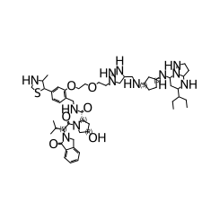 CCC(CC)C1CC(N[C@H]2CC[C@H](NCC3CN(CCOCCOc4cc(C5SCNC5C)ccc4CNC(=O)[C@@H]4C[C@@H](O)CN4C(=O)[C@H](C(C)C)N4Cc5ccccc5C4=O)NN3)C2)N2NCCC2N1